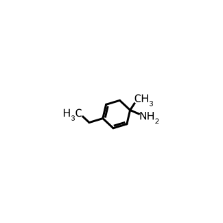 CCC1=CCC(C)(N)C=C1